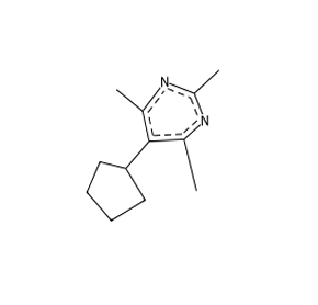 Cc1nc(C)c(C2CCCC2)c(C)n1